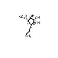 NCCCOC1O[C@H](CS(=O)(=O)O)[C@@H](O)[C@H](O)[C@H]1O